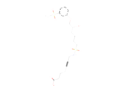 CS(=O)(=O)c1cccc(OCC(O)CCCCS(=O)(=O)NCC#CCCCC(=O)O)c1